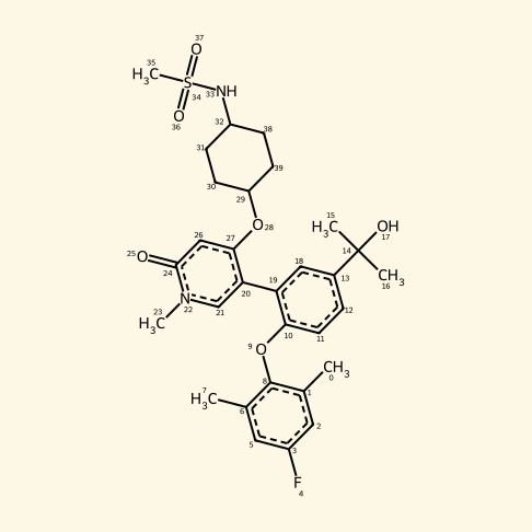 Cc1cc(F)cc(C)c1Oc1ccc(C(C)(C)O)cc1-c1cn(C)c(=O)cc1OC1CCC(NS(C)(=O)=O)CC1